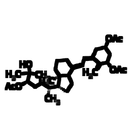 C=C1/C(=C\C=C2CCC[C@@]3(C)C2CC[C@@H]3[C@H](C)CC[C@@H](OC(C)=O)C(C)(C)O)C[C@@H](OC(C)=O)C[C@H]1OC(C)=O